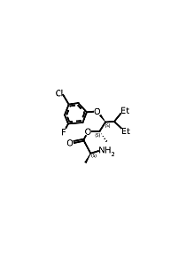 CCC(CC)[C@H](Oc1cc(F)cc(Cl)c1)[C@H](C)OC(=O)[C@H](C)N